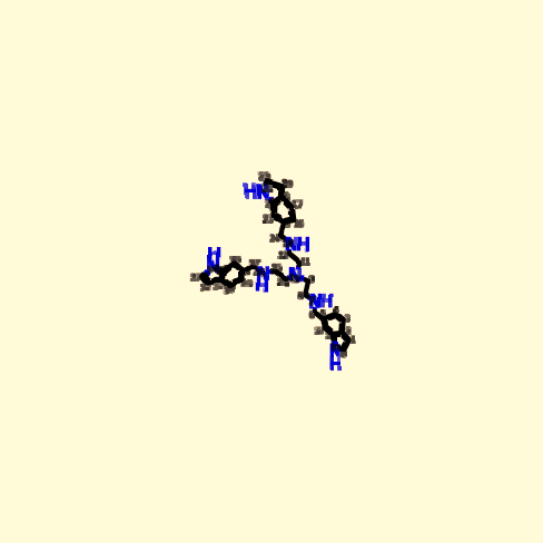 c1cc2ccc(CNCCN(CCNCc3ccc4cc[nH]c4c3)CCNCc3ccc4cc[nH]c4c3)cc2[nH]1